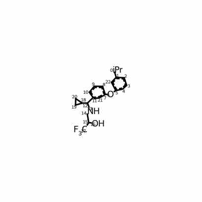 CC(C)c1cccc(Oc2cccc(C(NCC(O)C(F)(F)F)C3CC3)c2)c1